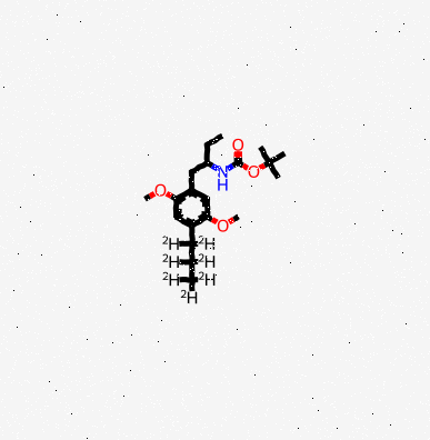 [2H]C([2H])([2H])C([2H])([2H])C([2H])([2H])c1cc(OC)c(CC(CC)NC(=O)OC(C)(C)C)cc1OC